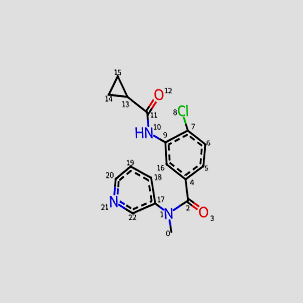 CN(C(=O)c1ccc(Cl)c(NC(=O)C2CC2)c1)c1cccnc1